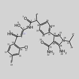 CC(C(=O)N/C(O)=C/C(=N)c1ccc(F)cc1Cl)c1ccc(-c2nn(C(C)C)c(N)c2C(N)=O)nc1